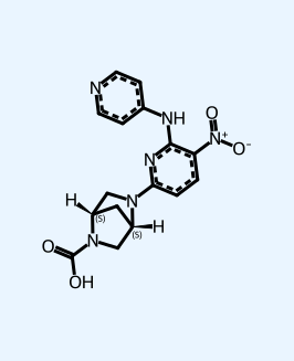 O=C(O)N1C[C@@H]2C[C@H]1CN2c1ccc([N+](=O)[O-])c(Nc2ccncc2)n1